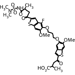 COc1cc2sc(C(=O)CC(C)C(=O)O)cc2cc1OCCCOc1c(OC)cc2sc(C(=O)CC(C)C(=O)NS(=O)(=O)N(C)C)cc2c1F